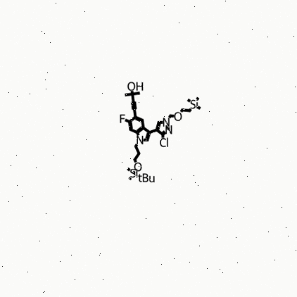 CC(C)(O)C#Cc1cc2c(-c3cn(COCC[Si](C)(C)C)nc3Cl)cn(CCCO[Si](C)(C)C(C)(C)C)c2cc1F